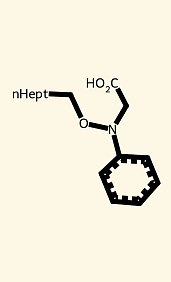 CCCCCCCCON(CC(=O)O)c1ccccc1